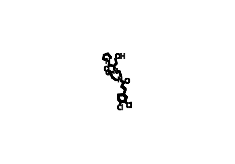 O=C(/C=C/c1ccc(Cl)c(Cl)c1)N1CCC(=O)N(C(CCO)C(=O)N2CCCC2)CC1